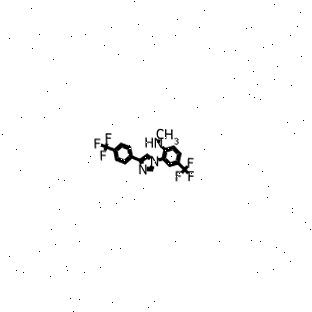 CNc1ccc(C(F)(F)F)cc1-n1cnc(-c2ccc(C(F)(F)F)cc2)c1